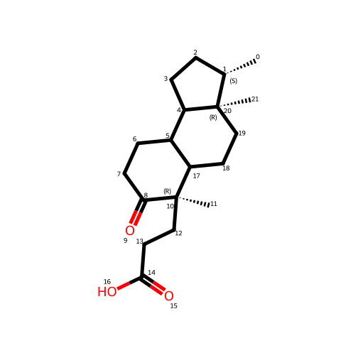 C[C@H]1CCC2C3CCC(=O)[C@](C)(CCC(=O)O)C3CC[C@@]21C